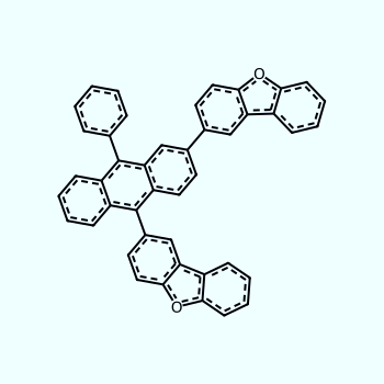 c1ccc(-c2c3ccccc3c(-c3ccc4oc5ccccc5c4c3)c3ccc(-c4ccc5oc6ccccc6c5c4)cc23)cc1